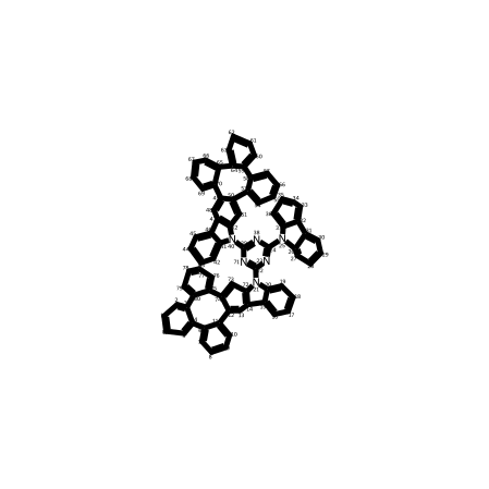 c1ccc2c(c1)-c1ccccc1-c1cc3c4ccccc4n(-c4nc(-n5c6ccccc6c6ccccc65)nc(-n5c6ccccc6c6cc7c(cc65)-c5ccccc5-c5ccccc5-c5ccccc5-7)n4)c3cc1-c1ccccc1-2